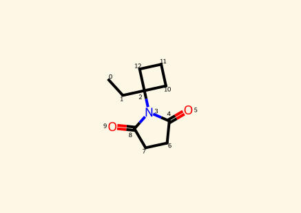 CCC1(N2C(=O)CCC2=O)CCC1